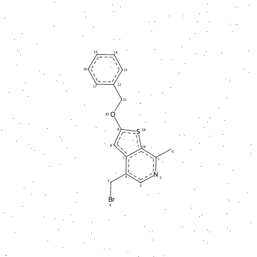 Cc1ncc(CBr)c2cc(OCc3ccccc3)sc12